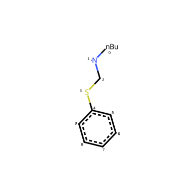 CCCC[N]CSc1ccccc1